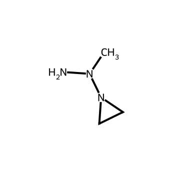 CN(N)N1CC1